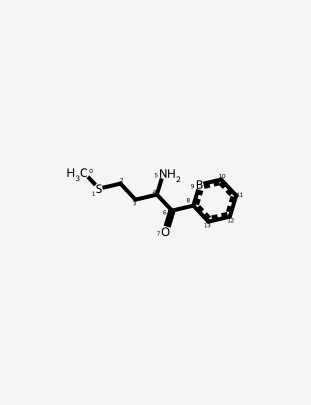 CSCCC(N)C(=O)c1bcccc1